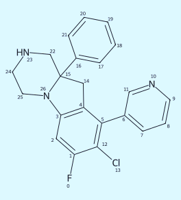 Fc1cc2c(c(-c3cccnc3)c1Cl)CC1(c3ccccc3)CNCCN21